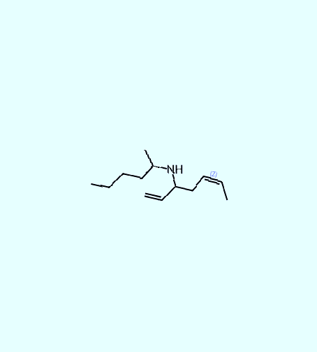 C=CC(C/C=C\C)NC(C)CCCC